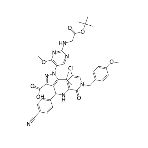 COc1ccc(Cn2cc(Cl)cc(NC(c3ccc(C#N)cc3)c3c(C(=O)O)nn(-c4cnc(NCC(=O)OC(C)(C)C)nc4OC)c3C(C)C)c2=O)cc1